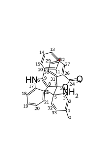 CC1=CC(N)C(C)(C2(c3c(-c4ccccc4)[nH]c4ccccc34)OC(=O)c3ccccc32)C=C1